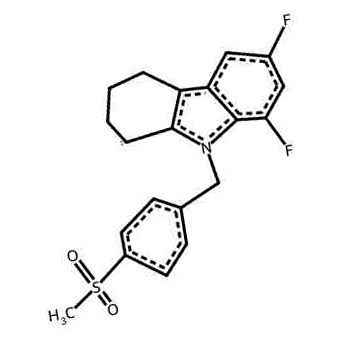 CS(=O)(=O)c1ccc(Cn2c3c(c4cc(F)cc(F)c42)CCC[C]3)cc1